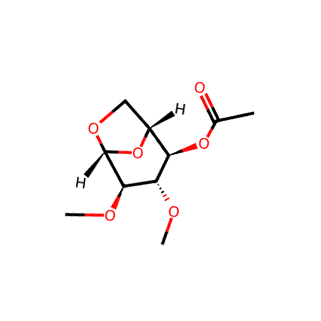 CO[C@@H]1[C@@H](OC)[C@@H]2OC[C@@H](O2)[C@H]1OC(C)=O